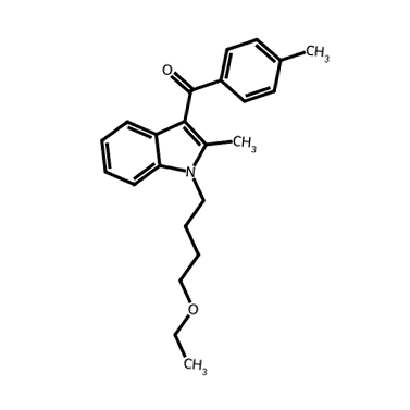 CCOCCCCn1c(C)c(C(=O)c2ccc(C)cc2)c2ccccc21